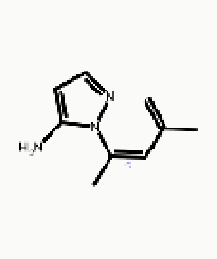 C=C(C)/C=C(/C)n1nccc1N